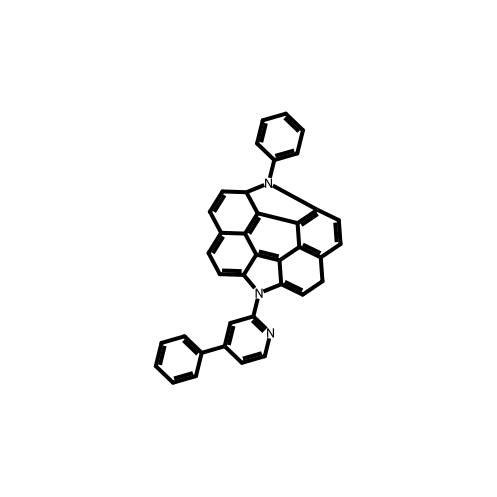 C1=CC2c3c4c(ccc5c4c4c(n(-c6cc(-c7ccccc7)ccn6)c6ccc1c3c46)=CC5)N2c1ccccc1